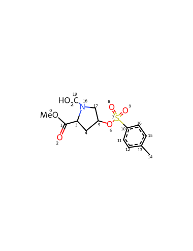 COC(=O)C1CC(OS(=O)(=O)c2ccc(C)cc2)CN1C(=O)O